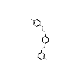 Cc1ccc(CCOc2ccc(COc3cccc(Br)c3)cc2)cc1